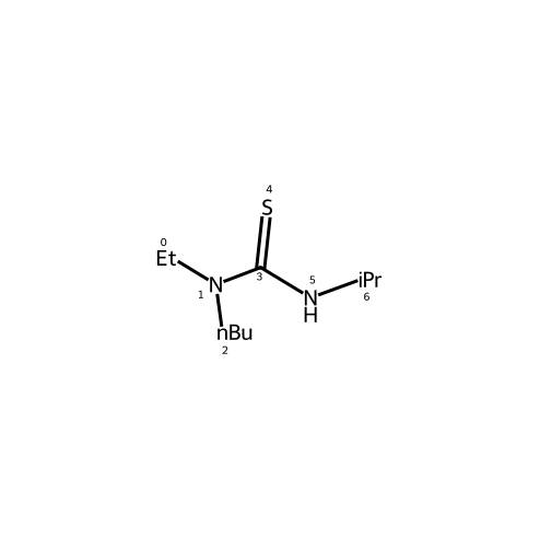 [CH2]CN(CCCC)C(=S)NC(C)C